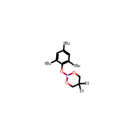 CCC1(CC)COP(Oc2c(C(C)(C)C)cc(C(C)(C)C)cc2C(C)(C)C)OC1